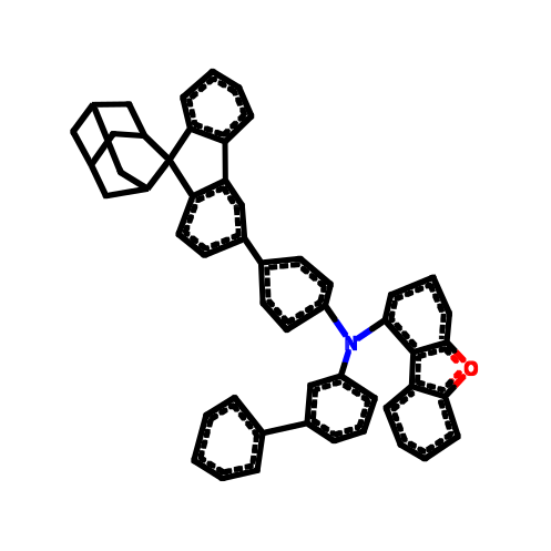 c1ccc(-c2cccc(N(c3ccc(-c4ccc5c(c4)-c4ccccc4C54C5CC6CC(C5)CC4C6)cc3)c3cccc4oc5ccccc5c34)c2)cc1